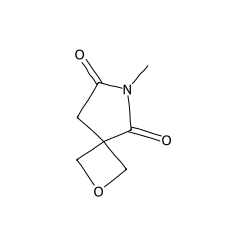 CN1C(=O)CC2(COC2)C1=O